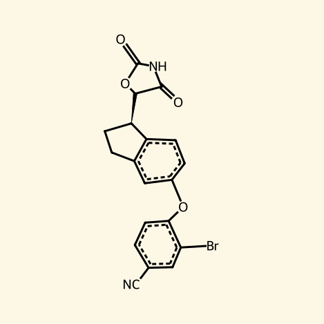 N#Cc1ccc(Oc2ccc3c(c2)CC[C@H]3C2OC(=O)NC2=O)c(Br)c1